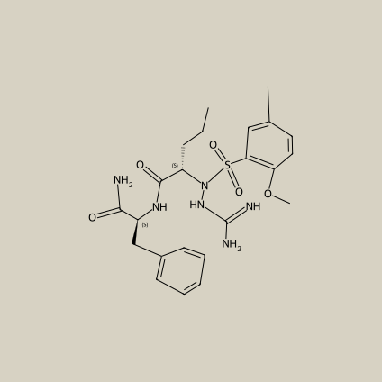 CCC[C@@H](C(=O)N[C@@H](Cc1ccccc1)C(N)=O)N(NC(=N)N)S(=O)(=O)c1cc(C)ccc1OC